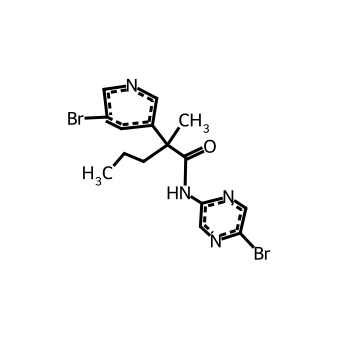 CCCC(C)(C(=O)Nc1cnc(Br)cn1)c1cncc(Br)c1